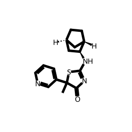 CC1(c2cccnc2)SC(N[C@H]2C[C@H]3CC[C@H]2C3)=NC1=O